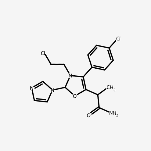 CC(C(N)=O)C1=C(c2ccc(Cl)cc2)N(CCCl)C(n2ccnc2)O1